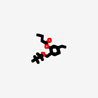 CCCC(=O)Oc1cc(CC)ccc1CO[Si](C)(C)C(C)(C)C